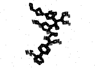 Cc1ncsc1-c1ccc([C@H](C)NC(=O)[C@@H]2C[C@@H](O)CN2C(=O)C(c2cc(N3CC(C=O)C3)no2)C(C)C)cc1